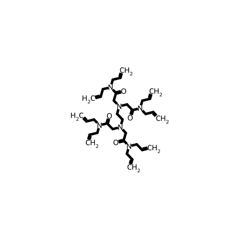 C=CCN(CC=C)C(=O)CN(CCN(CC(=O)N(CC=C)CC=C)CC(=O)N(CC=C)CC=C)CC(=O)N(CC=C)CC=C